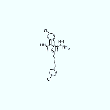 N=C(N)NC(CCCCCCc1ccc(Cl)cc1)(Cc1ccc(Cl)cc1)NC(=N)N